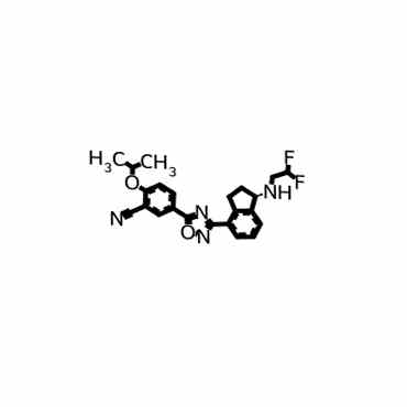 CC(C)Oc1ccc(-c2nc(-c3cccc4c3CC[C@@H]4NCC(F)F)no2)cc1C#N